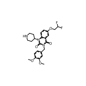 COc1ccc(Cn2c(=O)c3cc(OCC(F)F)ccc3n(C3CCNCC3)c2=O)cc1OC